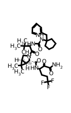 CC(C)(C)[C@H](NC(=O)NC1(Cc2ccccn2)CCCCC1)C(=O)N1C[C@H]2[C@@H]([C@H]1C(=O)NC(CCC(F)(F)F)C(=O)C(N)=O)C2(C)C